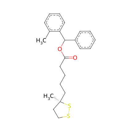 Cc1ccccc1C(OC(=O)CCCC[C@]1(C)CCSS1)c1ccccc1